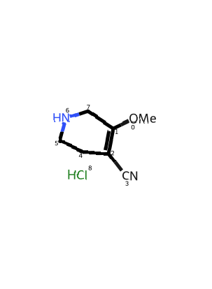 COC1=C(C#N)CCNC1.Cl